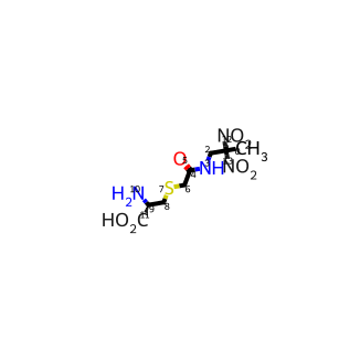 CC(CNC(=O)CSC[C@H](N)C(=O)O)([N+](=O)[O-])[N+](=O)[O-]